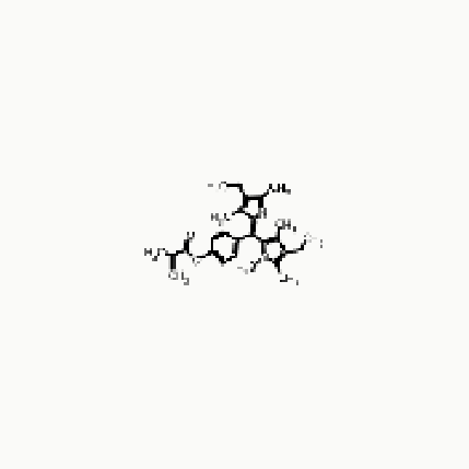 Bn1c(C)c(CC)c(C)c1/C(=C1\N=C(C)C(CC)=C1C)c1ccc(OC(=O)C(=C)C)cc1